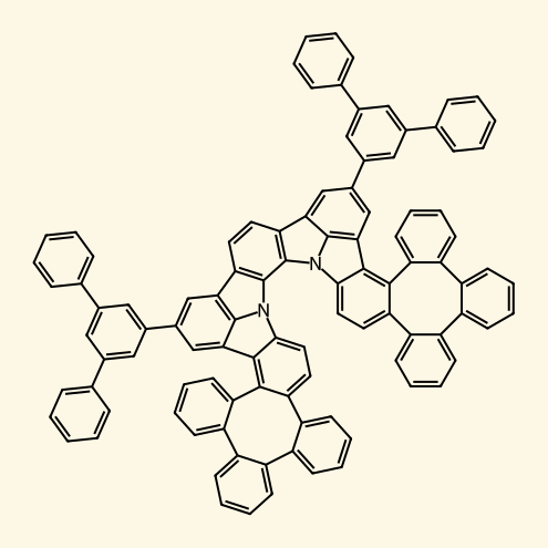 c1ccc(-c2cc(-c3ccccc3)cc(-c3cc4c5ccc6c7cc(-c8cc(-c9ccccc9)cc(-c9ccccc9)c8)cc8c9c%10c(ccc9n(c78)c6c5n5c6ccc7c(c6c(c3)c45)-c3ccccc3-c3ccccc3-c3ccccc3-7)-c3ccccc3-c3ccccc3-c3ccccc3-%10)c2)cc1